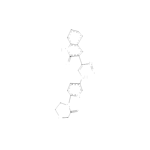 N=N/C(=C\Nc1ccc(N2CCOCC2=O)nc1)c1cc2ccccc2[nH]c1=O